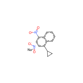 O=N[O-].O=[N+]([O-])c1ccc(C2CC2)c2ccccc12.[Na+]